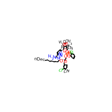 CCCCCCCCCCCCCCCCCCOC[C@H](COP(=O)(OC[C@@]1(C#N)O[C@@H](c2ccc3c(N)ncnn23)[C@@H]2OC(C)(C)O[C@@H]21)Oc1ccccc1Cl)OCc1ccc(C#N)c(Cl)c1